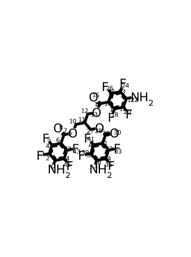 Nc1c(F)c(F)c(C(=O)OCC(COC(=O)c2c(F)c(F)c(N)c(F)c2F)COC(=O)c2c(F)c(F)c(N)c(F)c2F)c(F)c1F